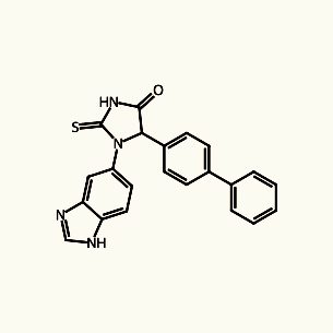 O=C1NC(=S)N(c2ccc3[nH]cnc3c2)C1c1ccc(-c2ccccc2)cc1